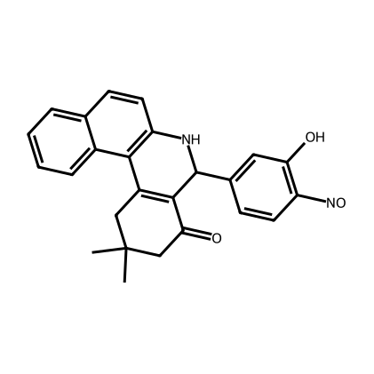 CC1(C)CC(=O)C2=C(C1)c1c(ccc3ccccc13)NC2c1ccc(N=O)c(O)c1